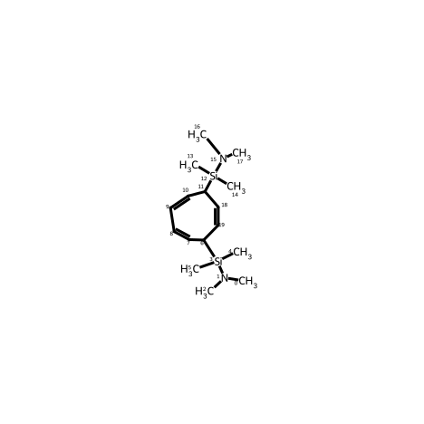 CN(C)[Si](C)(C)C1/C=C\C=C/C([Si](C)(C)N(C)C)/C=C\1